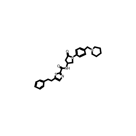 O=C(NC1CC(=O)N(c2ccc(CN3CCCCC3)cc2)C1)c1ncc(CCc2ccccc2)s1